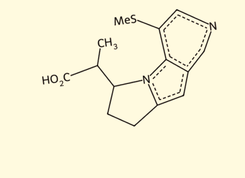 CSc1cncc2cc3n(c12)C(C(C)C(=O)O)CC3